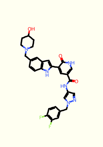 O=C(Nc1cnn(Cc2ccc(F)c(F)c2)c1)c1c[nH]c(=O)c(-c2cc3cc(CN4CCC(O)CC4)ccc3[nH]2)c1